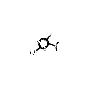 CN(C)c1nc(N)ncc1F